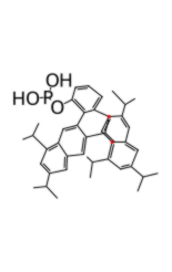 CC(C)c1cc(C(C)C)c2cc(-c3cccc(OP(O)O)c3-c3cc4c(C(C)C)cc(C(C)C)cc4cc3C(C)C)c(C(C)C)cc2c1